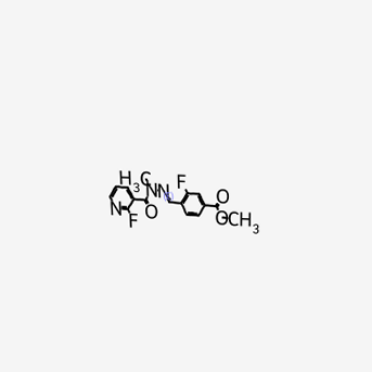 COC(=O)c1ccc(/C=N/N(C)C(=O)c2cccnc2F)c(F)c1